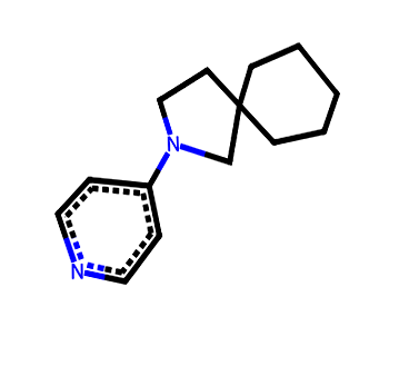 c1cc(N2CCC3(CCCCC3)C2)ccn1